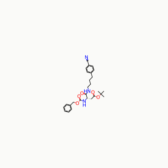 CC(C)(C)OC(=O)C[C@H](NC(=O)OCc1ccccc1)C(=O)NCCCCc1ccc(C#N)cc1